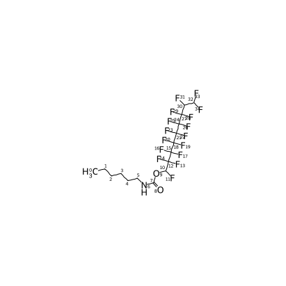 CCCCCCNC(=O)OC(F)C(F)(F)C(F)(F)C(F)(F)C(F)(F)C(F)(F)C(F)(F)C(F)C(F)F